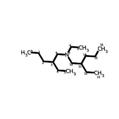 CCCC(CC)CN(CC)CC(CC)CCC